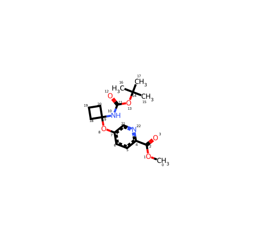 COC(=O)c1ccc(OC2(NC(=O)OC(C)(C)C)CCC2)cn1